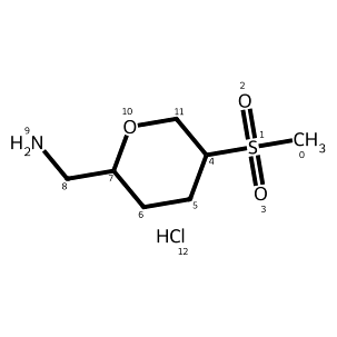 CS(=O)(=O)C1CCC(CN)OC1.Cl